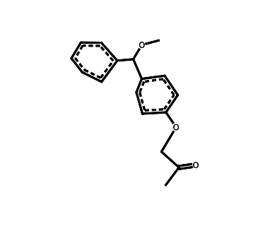 COC(c1ccccc1)c1ccc(OCC(C)=O)cc1